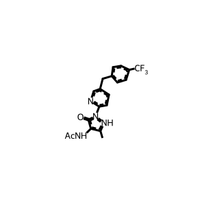 CC(=O)Nc1c(C)[nH]n(-c2ccc(Cc3ccc(C(F)(F)F)cc3)cn2)c1=O